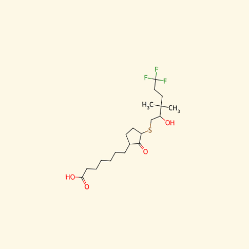 CC(C)(CCC(F)(F)F)C(O)CSC1CCC(CCCCCCC(=O)O)C1=O